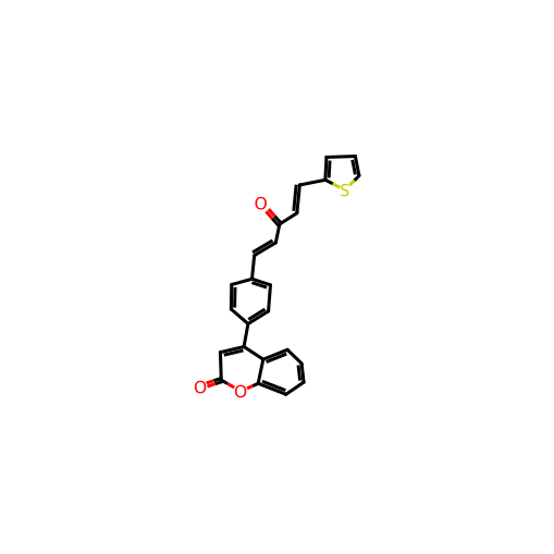 O=C(C=Cc1ccc(-c2cc(=O)oc3ccccc23)cc1)C=Cc1cccs1